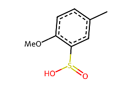 COc1ccc(C)cc1S(=O)O